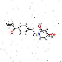 COC(=O)c1ccc(CCn2ccc(O)cc2=O)cc1